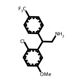 COc1ccc(Cl)c(C(CN)c2ccc(C(F)(F)F)cc2)c1